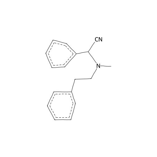 CN(CCc1ccccc1)C(C#N)c1ccccc1